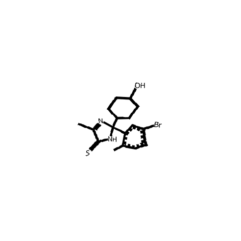 CC1=NC(c2cc(Br)ccc2C)(C2CCC(O)CC2)NC1=S